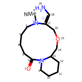 CNN1CCCCC(=O)N2CCCCC2COC/C1=C/N